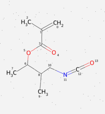 C=C(C)C(=O)OC(C)C(C)CN=C=O